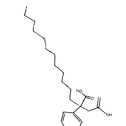 CCCCCCCCCCCCC(CC(=O)O)(C(=O)O)c1ccccc1